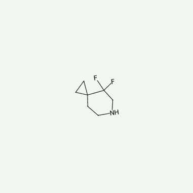 FC1(F)CNCCC12CC2